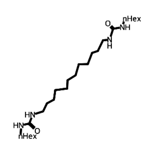 CCCCCCNC(=O)NCCCCCCCCCCCCNC(=O)NCCCCCC